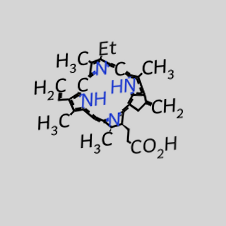 C=Cc1c(C)c2cc3nc(c4c5[nH]c(cc6nc(cc1[nH]2)C(C)=C6CC)c(C)c5C(=C)C4)[C@@H](CCC(=O)O)[C@@H]3C